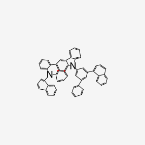 c1ccc(-c2cc(-c3cccc4ccccc34)cc(-n3c4ccccc4c4cc(-c5ccccc5N(c5ccccc5)c5cccc6ccccc56)ccc43)c2)cc1